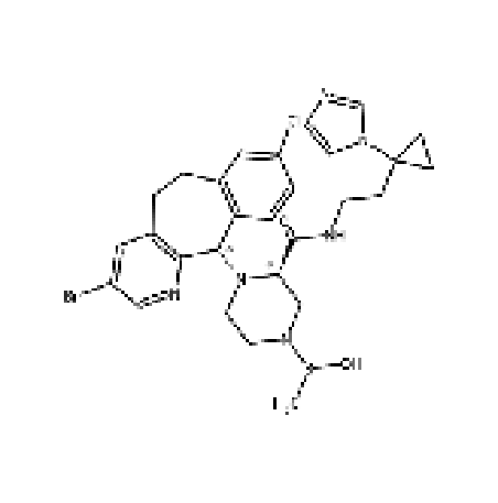 CB(O)N1CCN([C@H]2c3ccc(Cl)cc3CCc3cc(Br)cnc32)[C@@H](C(=O)NCCC2(n3ccnc3)CC2)C1